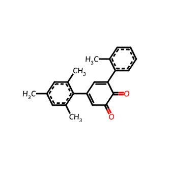 Cc1cc(C)c(C2=CC(=O)C(=O)C(c3ccccc3C)=C2)c(C)c1